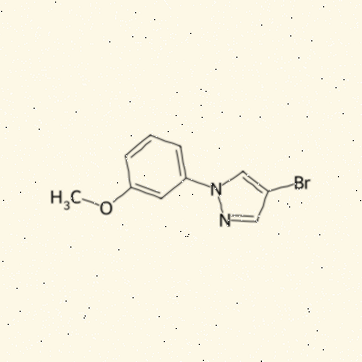 COc1cccc(-n2cc(Br)cn2)c1